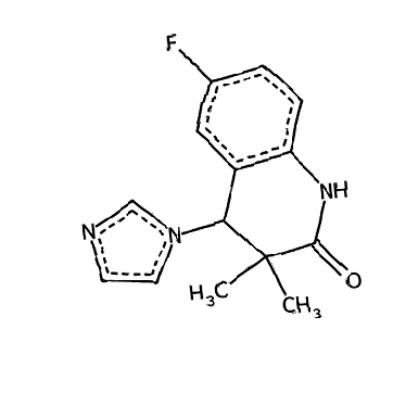 CC1(C)C(=O)Nc2ccc(F)cc2C1n1ccnc1